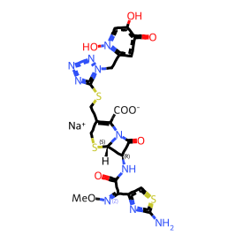 CO/N=C(\C(=O)N[C@@H]1C(=O)N2C(C(=O)[O-])=C(CSc3nnnn3Cc3cc(=O)c(O)cn3O)CS[C@@H]12)c1csc(N)n1.[Na+]